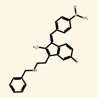 CC1=C(CCNCc2ccccc2)c2cc(F)ccc2/C1=C\c1ccc([S+](C)[O-])cc1